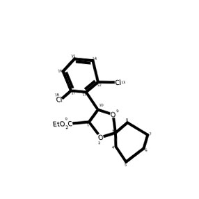 CCOC(=O)C1OC2(CCCCC2)OC1c1c(Cl)cccc1Cl